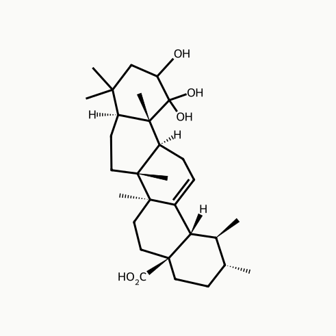 C[C@H]1[C@H](C)CC[C@]2(C(=O)O)CC[C@]3(C)C(=CC[C@@H]4[C@]5(C)[C@@H](CC[C@]43C)C(C)(C)CC(O)C5(O)O)[C@H]12